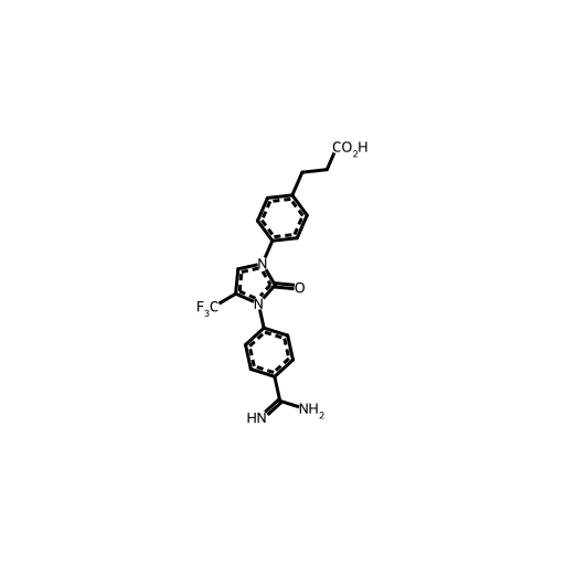 N=C(N)c1ccc(-n2c(C(F)(F)F)cn(-c3ccc(CCC(=O)O)cc3)c2=O)cc1